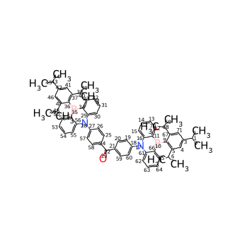 CC(C)c1cc(C(C)C)c(B2c3ccccc3N(c3ccc(C(=O)c4ccc(N5c6ccccc6B(c6c(C(C)C)cc(C(C)C)cc6C(C)C)c6ccccc65)cc4)cc3)c3ccccc32)c(C(C)C)c1